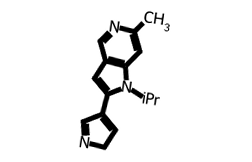 Cc1cc2c(cn1)cc(C1=CCN=C1)n2C(C)C